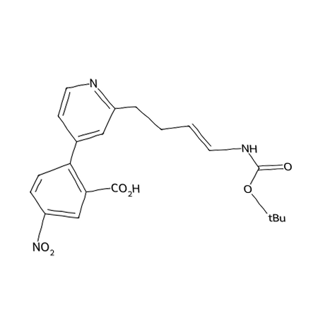 CC(C)(C)OC(=O)NC=CCCc1cc(-c2ccc([N+](=O)[O-])cc2C(=O)O)ccn1